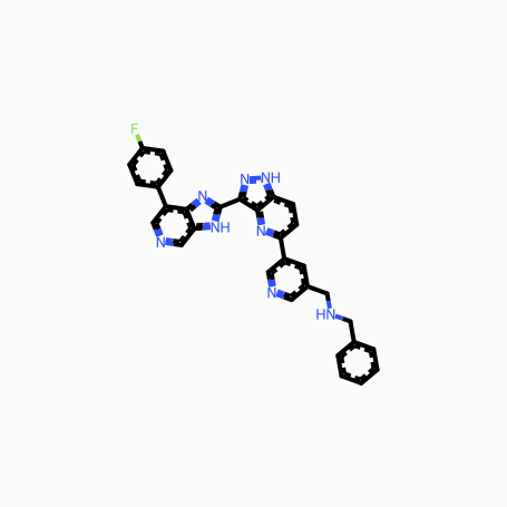 Fc1ccc(-c2cncc3[nH]c(-c4n[nH]c5ccc(-c6cncc(CNCc7ccccc7)c6)nc45)nc23)cc1